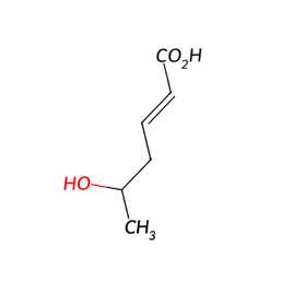 CC(O)CC=CC(=O)O